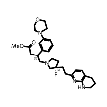 COC(=O)C[C@H](CN1CC[C@@](F)(CCc2ccc3c(n2)NCCC3)C1)c1cccc(N2CCOCC2)c1